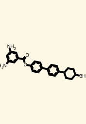 BC1CCC(c2ccc(-c3ccc(OC(=O)c4cc(N)cc(N)c4)cc3)cc2)CC1